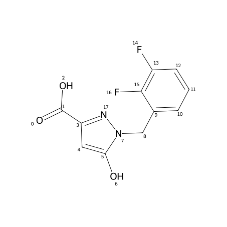 O=C(O)c1cc(O)n(Cc2cccc(F)c2F)n1